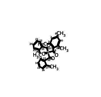 Cc1cc(C)c(C(=O)P(=O)(C(=O)c2ccccc2C)C(=O)c2ccccc2C)c(C)c1